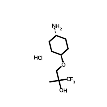 CC(O)(CO[C@H]1CC[C@H](N)CC1)C(F)(F)F.Cl